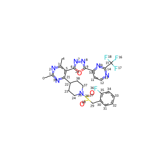 Cc1nc(C)c(-c2nnc(-c3ccnc(C(F)(F)F)n3)o2)c(C2CCN(S(=O)(=O)Cc3ccccc3F)CC2)n1